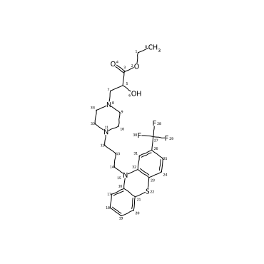 CCOC(=O)C(O)CN1CCN(CCCN2c3ccccc3Sc3ccc(C(F)(F)F)cc32)CC1